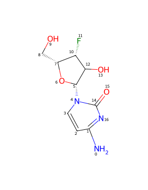 Nc1ccn([C@@H]2O[C@H](CO)[C@H](F)C2O)c(=O)n1